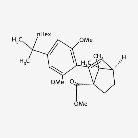 CCCCCCC(C)(C)c1cc(OC)c(C2=C[C@H]3CC[C@]2(C(=O)OC)C3(C)C)c(OC)c1